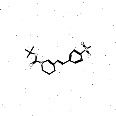 CC(C)(C)OC(=O)N1C=C(C=Cc2ccc(S(C)(=O)=O)cc2)CCC1